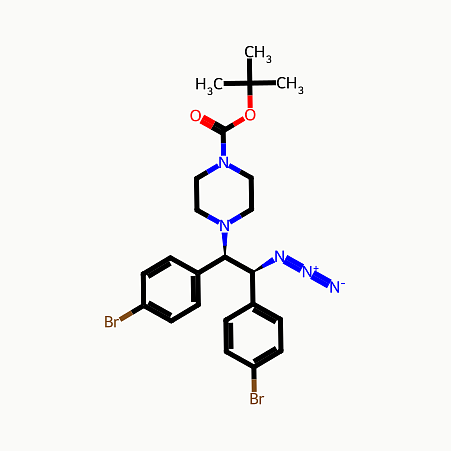 CC(C)(C)OC(=O)N1CCN([C@H](c2ccc(Br)cc2)[C@@H](N=[N+]=[N-])c2ccc(Br)cc2)CC1